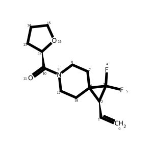 C=C[C@@H]1C(F)(F)C12CCN(C(=O)[C@H]1CCCO1)CC2